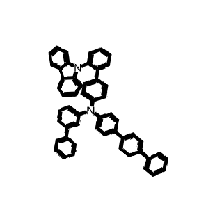 C1=C(c2ccccc2)CCC(c2ccc(N(c3ccc(-c4ccccc4-n4c5ccccc5c5ccccc54)cc3)c3cccc(-c4ccccc4)c3)cc2)=C1